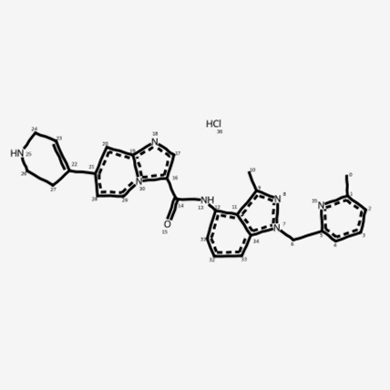 Cc1cccc(Cn2nc(C)c3c(NC(=O)c4cnc5cc(C6=CCNCC6)ccn45)cccc32)n1.Cl